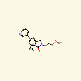 Cc1cc(-c2cccnc2)cc2c1C(=O)N(CCCOC(C)C)C2